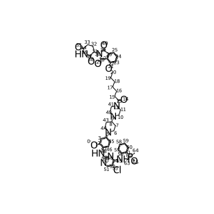 COc1cc(N2CCC(N3CCN(C(=O)CCCCCCOc4cccc5c4C(=O)N(C4CCC(=O)NC4=O)C5=O)CC3)CC2)ccc1Nc1ncc(Cl)c(Nc2ccccc2P(C)(C)=O)n1